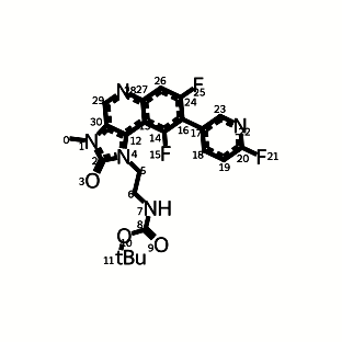 Cn1c(=O)n(CCNC(=O)OC(C)(C)C)c2c3c(F)c(-c4ccc(F)nc4)c(F)cc3ncc21